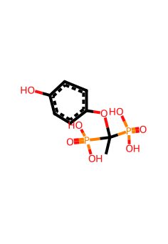 CC(Oc1ccc(O)cc1)(P(=O)(O)O)P(=O)(O)O